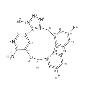 CCn1nnc2c1-c1cnc(N)c(c1)OC(C)c1cc(F)ccc1-c1ncc(F)cc1C2